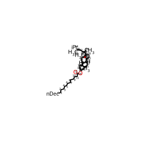 CCCCCCCCCCCCCCCCCCCCCC(=O)O[C@H]1CC[C@@]2(C)C(=CC[C@H]3[C@@H]4CC[C@H]([C@H](C)CC[C@@H](C)C(C)C)[C@@]4(C)CC[C@@H]32)C1